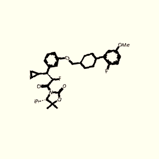 COc1ccc(F)c(C2CCC(COc3cccc([C@H](C4CC4)C(F)C(=O)N4C(=O)OC(C)(C)[C@@H]4C(C)C)c3)CC2)c1